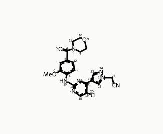 COc1cc(C(=O)N2CCOCC2)ccc1Nc1ncc(Cl)c(-c2cnn(CC#N)c2)n1